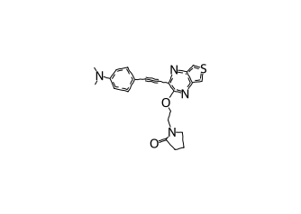 CN(C)c1ccc(C#Cc2nc3cscc3nc2OCCN2CCCC2=O)cc1